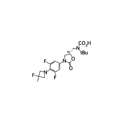 CC1(F)CN(c2c(F)cc(N3C[C@H](CN(C(=O)O)C(C)(C)C)OC3=O)cc2F)C1